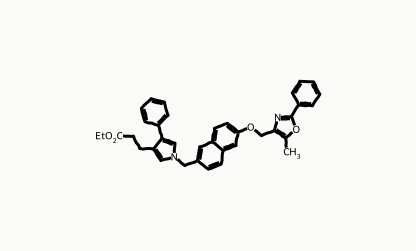 CCOC(=O)CCc1cn(Cc2ccc3cc(OCc4nc(-c5ccccc5)oc4C)ccc3c2)cc1-c1ccccc1